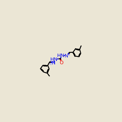 Cc1cccc(/C=N/NC(=O)N/N=C/c2cccc(C)c2)c1